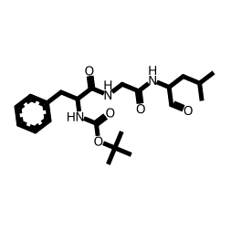 CC(C)CC(C=O)NC(=O)CNC(=O)C(Cc1ccccc1)NC(=O)OC(C)(C)C